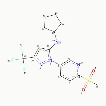 CS(=O)(=O)c1ccc(-n2nc(C(F)(F)F)cc2NC2CCCC2)cn1